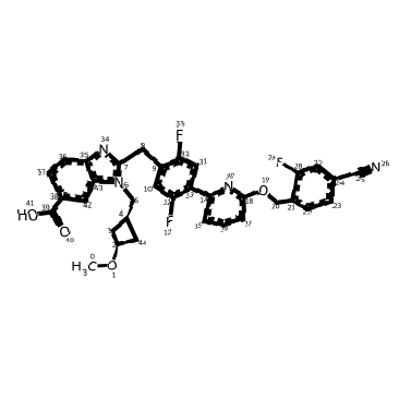 CO[C@H]1C[C@@H](Cn2c(Cc3cc(F)c(-c4cccc(OCc5ccc(C#N)cc5F)n4)cc3F)nc3ccc(C(=O)O)cc32)C1